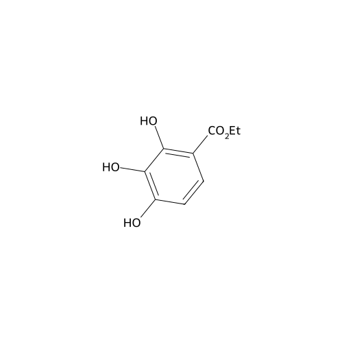 CCOC(=O)c1ccc(O)c(O)c1O